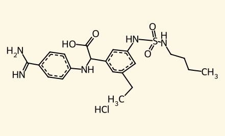 CCCCNS(=O)(=O)Nc1cc(CC)cc(C(Nc2ccc(C(=N)N)cc2)C(=O)O)c1.Cl